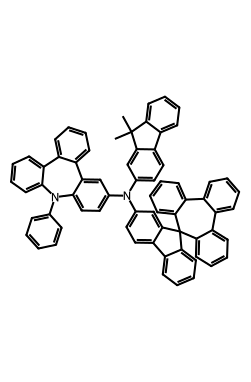 CC1(C)c2ccccc2-c2ccc(N(c3ccc4c(c3)-c3ccccc3-c3ccccc3N4c3ccccc3)c3ccc4c(c3)C3(c5ccccc5-c5ccccc5-c5ccccc53)c3ccccc3-4)cc21